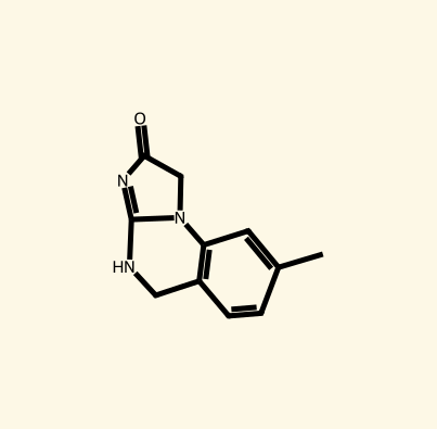 Cc1ccc2c(c1)N1CC(=O)N=C1NC2